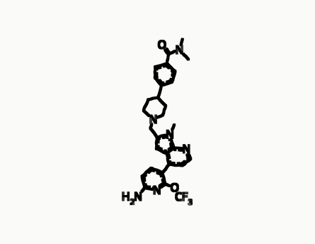 CN(C)C(=O)c1ccc(C2CCN(Cc3cc4c(-c5ccc(N)nc5OC(F)(F)F)ccnc4n3C)CC2)cc1